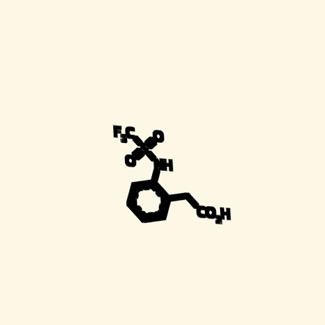 O=C(O)Cc1ccccc1NS(=O)(=O)C(F)(F)F